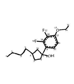 CCCCC1CCC(O)(c2ccc(OCC)c(F)c2F)C1